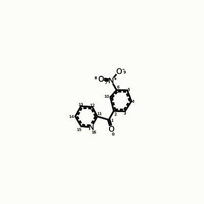 O=C(c1cccc([N+](=O)[O-])c1)c1ccccn1